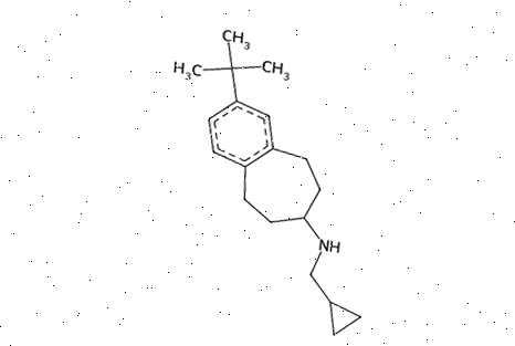 CC(C)(C)c1ccc2c(c1)CCC(NCC1CC1)CC2